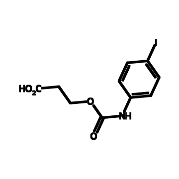 O=C(O)CCOC(=O)Nc1ccc(I)cc1